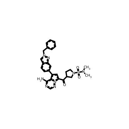 CN(C)S(=O)(=O)N1CCC(C(=O)c2cc(-c3ccc4cn(Cc5ccccc5)nc4c3)c3c(N)ncnn23)C1